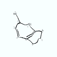 OC1C=CC2=C(CCC2)N1